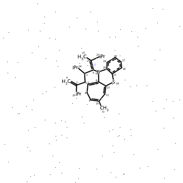 C=C(CC(/C(B1C2=CCC=C(C)C=C2Sc2ccccc21)=C(\C)C(C)C)C(C)C)C(C)C